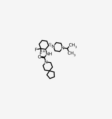 CC(C)N1CCN([C@H]2CCCC(F)(F)[C@@H]2NC(=O)N2CCC3(CCCC3)CC2)CC1